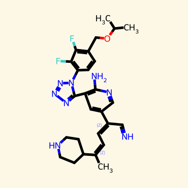 C/C(=C/C=C(\C=N)c1cnc(N)c(-c2nnnn2-c2ccc(COC(C)C)c(F)c2F)c1)C1CCNCC1